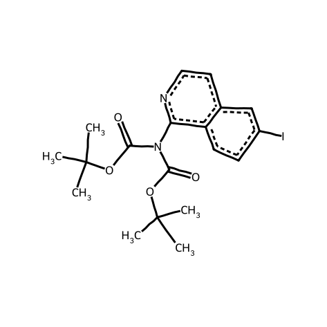 CC(C)(C)OC(=O)N(C(=O)OC(C)(C)C)c1nccc2cc(I)ccc12